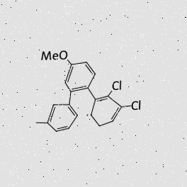 COc1ccc(C2=C(Cl)C(Cl)=CC[CH]2)c(-c2cccc(C)c2)c1